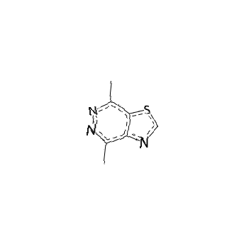 Cc1nnc(C)c2scnc12